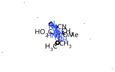 COCC(C)Nc1nc(Nc2ccc(C)cc2C)nc(NCCC(=O)O)c1N=Nc1nn(-c2ncccn2)cc1C#N